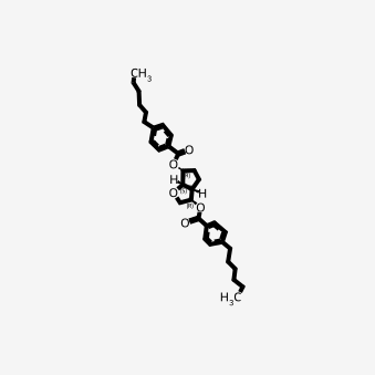 CCCCCCc1ccc(C(=O)O[C@H]2CO[C@H]3[C@@H]2CC[C@H]3OC(=O)c2ccc(CCCCCC)cc2)cc1